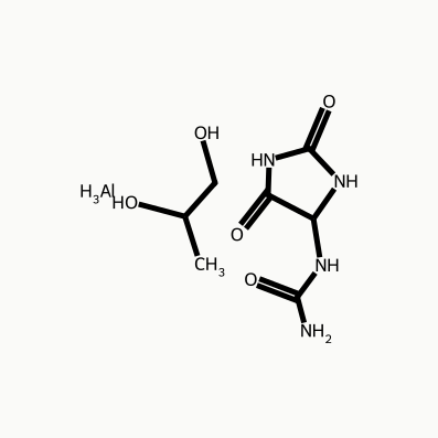 CC(O)CO.NC(=O)NC1NC(=O)NC1=O.[AlH3]